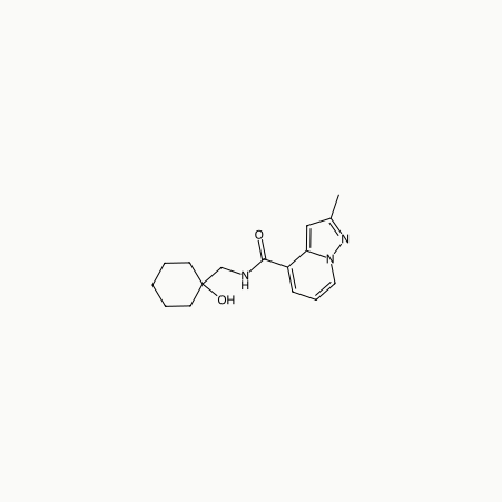 Cc1cc2c(C(=O)NCC3(O)CCCCC3)cccn2n1